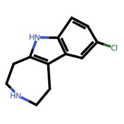 Clc1ccc2[nH]c3c(c2c1)CCNCC3